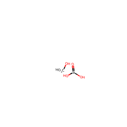 O=C(O)O.O=[Si](O)O